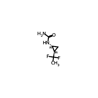 CC(F)(F)[C@@H]1C[C@H]1NC(N)=O